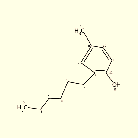 CCCCCCc1cc(C)ccc1O